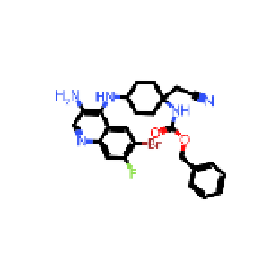 N#CCC1(NC(=O)OCc2ccccc2)CCC(Nc2c(N)cnc3cc(F)c(Br)cc23)CC1